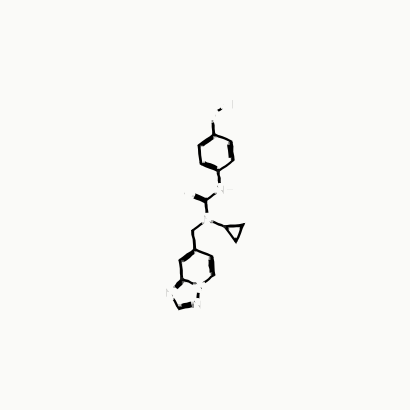 O=C(Nc1ccc(OC(F)(F)F)cc1)N(Cc1ccn2ncnc2c1)C1CC1